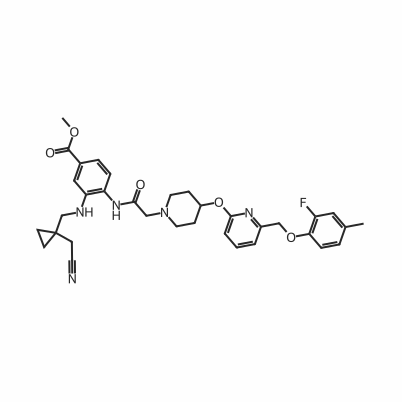 COC(=O)c1ccc(NC(=O)CN2CCC(Oc3cccc(COc4ccc(C)cc4F)n3)CC2)c(NCC2(CC#N)CC2)c1